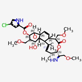 COCC(=N)[C@H]1OC(=O)[C@H](COC)[C@H]2C=C[C@H]3[C@H]4O[C@]2(/C(C)=C/[C@H]1C)[C@@H]3[C@H](O)[C@@H](COC)[C@H]4OC(=O)c1cc(Cl)c[nH]1